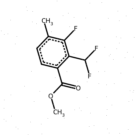 COC(=O)c1ccc(C)c(F)c1C(F)F